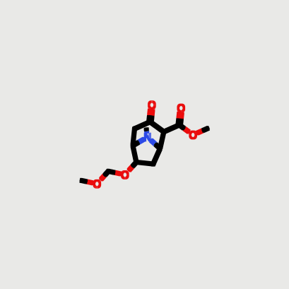 COCOC1CC2C(C(=O)OC)C(=O)CC1N2C